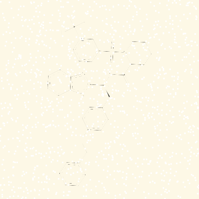 O=C(N[C@@H](Cc1ccc(OCc2ccccc2)cc1)c1nc2ccccc2[nH]1)C1CCCCN1S(=O)(=O)c1cccc(C(F)(F)F)c1